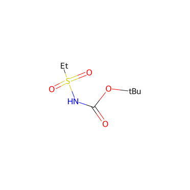 CCS(=O)(=O)NC(=O)OC(C)(C)C